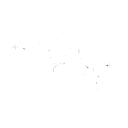 C[C@]12CC[C@H]3[C@@H](CC=C4C[C@H](O)C=C[C@@]43C)[C@@H]1C[C@@H](F)[C@@H]2O